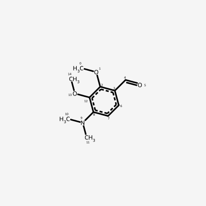 COc1c(C=O)ccc(N(C)C)c1OC